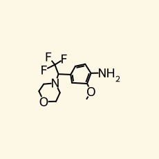 COc1cc(C(N2CCOCC2)C(F)(F)F)ccc1N